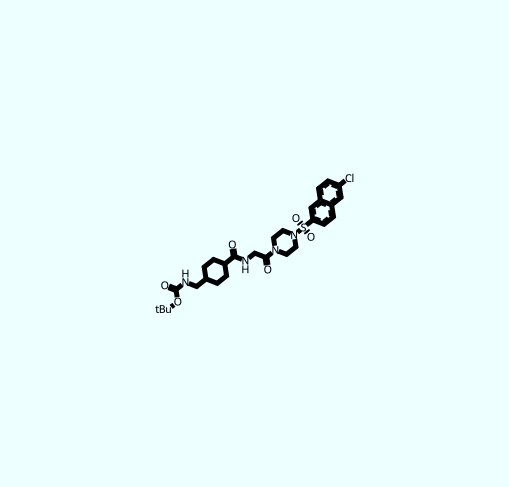 CC(C)(C)OC(=O)NCC1CCC(C(=O)NCC(=O)N2CCN(S(=O)(=O)c3ccc4cc(Cl)ccc4c3)CC2)CC1